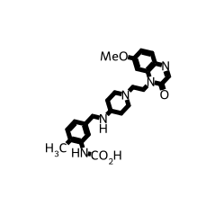 COc1ccc2ncc(=O)n(CCN3CCC(NCc4ccc(C)c(NC(=O)O)c4)CC3)c2c1